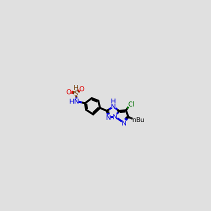 CCCCc1nn2nc(-c3ccc(N[SH](=O)=O)cc3)[nH]c2c1Cl